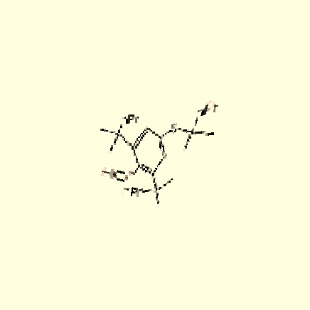 CCCC(C)(C)Sc1cc(C(C)(C)CCC)c(O)c(C(C)(C)CCC)c1